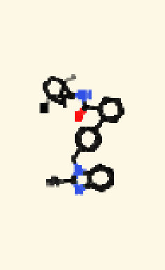 CCCc1nc2ccccc2n1Cc1ccc(-c2ccccc2C(=O)N[C@H]2C[C@H]3CC[C@]2(C)C3(C)C)cc1